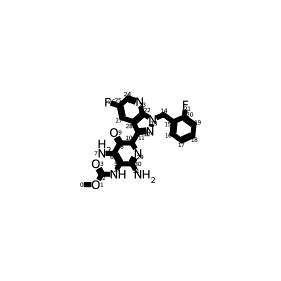 COC(=O)NC1=C(N)C(=O)C(c2nn(Cc3ccccc3F)c3ncc(F)cc23)N=C1N